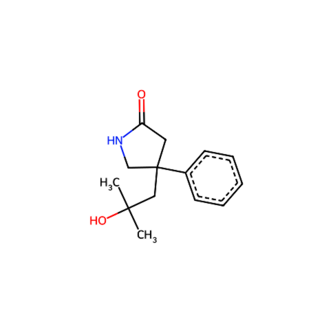 CC(C)(O)CC1(c2ccccc2)CNC(=O)C1